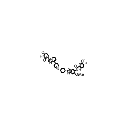 COc1cc2nc([C@H]3CC[C@H](CN4CCC(c5cccn6c(N7CCC(=O)NC7=O)cnc56)CC4)CC3)sc2cc1NC(=O)c1cccc(C(F)(F)F)n1